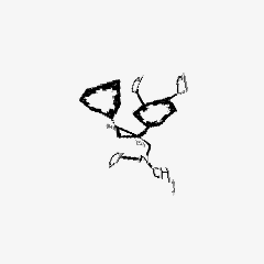 CN(Cl)C[C@@]1(c2ccc(Cl)c(Cl)c2)C[C@@H]1c1ccccc1